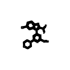 CSc1nc(N2CCOCC2)cc(-n2c(C(F)F)nc3ccc(Cl)cc32)n1